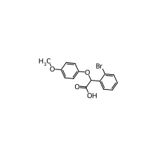 COc1ccc(OC(C(=O)O)c2ccccc2Br)cc1